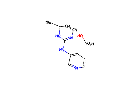 CC(NC(=NC#N)Nc1cccnc1)C(C)(C)C.O=S(=O)(O)O